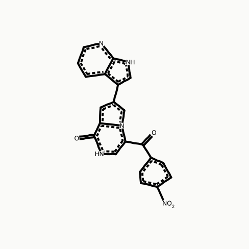 O=C(c1ccc([N+](=O)[O-])cc1)c1c[nH]c(=O)c2cc(-c3c[nH]c4ncccc34)cn12